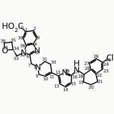 O=C(O)c1ccc2nc(CN3CC=C(c4cccc(NC5CCCc6cc(Cl)ccc65)n4)CC3)n(C[C@@H]3CCO3)c2c1